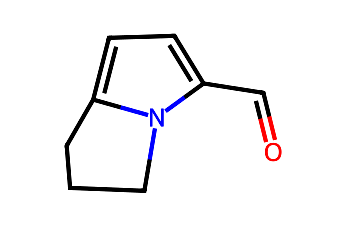 O=Cc1ccc2n1CCC2